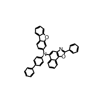 c1ccc(-c2ccc(N(c3ccc4c(c3)oc3ccccc34)c3cc4nc(-c5ccccc5)oc4c4ccccc34)cc2)cc1